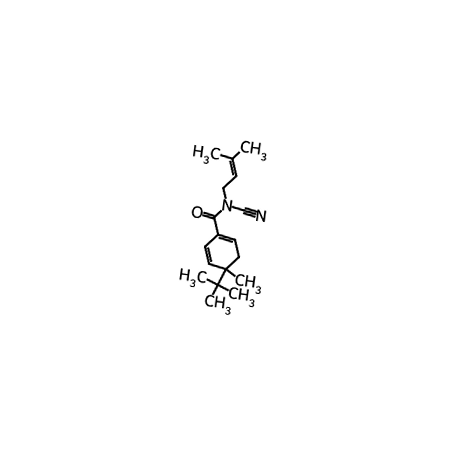 CC(C)=CCN(C#N)C(=O)C1=CCC(C)(C(C)(C)C)C=C1